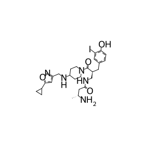 C[C@@H](N)CC(=O)NC[C@H](Cc1ccc(O)c(I)c1)C(=O)N1CCC(NCc2cc(C3CC3)on2)CC1